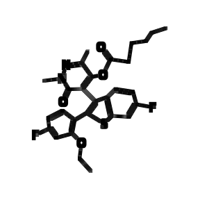 CCCCCC(=O)Oc1c(C)nn(C)c(=O)c1-c1c(-c2ccc(F)cc2OCC)sc2cc(F)ccc12